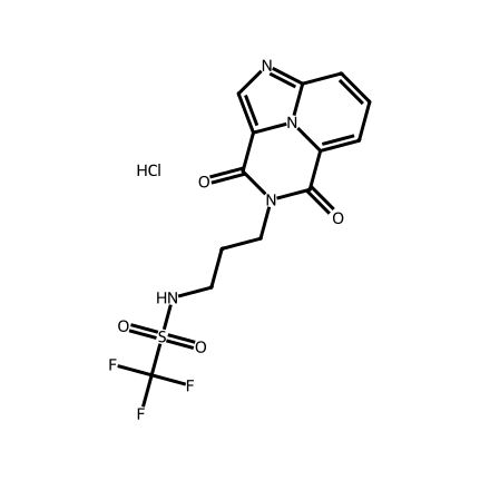 Cl.O=c1c2cccc3ncc(c(=O)n1CCCNS(=O)(=O)C(F)(F)F)n32